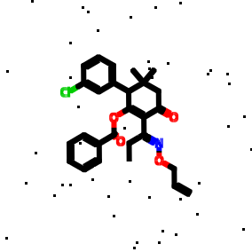 C=CCON=C(CC)C1=C(OC(=O)c2ccccc2)C(c2cccc(Cl)c2)C(C)(C)CC1=O